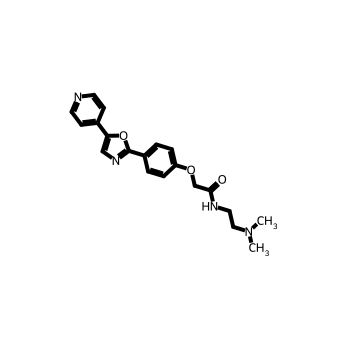 CN(C)CCNC(=O)COc1ccc(-c2ncc(-c3ccncc3)o2)cc1